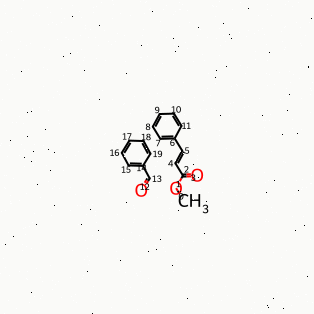 COC(=O)C=Cc1ccccc1.O=Cc1ccccc1